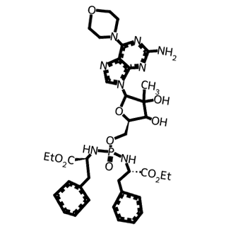 CCOC(=O)[C@H](Cc1ccccc1)NP(=O)(N[C@@H](Cc1ccccc1)C(=O)OCC)OC[C@H]1OC(n2cnc3c(N4CCOCC4)nc(N)nc32)C(C)(O)C1O